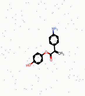 C=C(C(=O)Oc1ccc(O)cc1)c1ccc(N)cc1